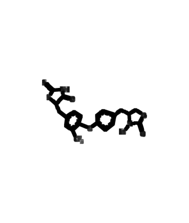 CCN1C(=O)OCC1Cc1ccc(Oc2ccc(CC3SC(=S)NC3=O)cc2C(F)(F)F)cc1